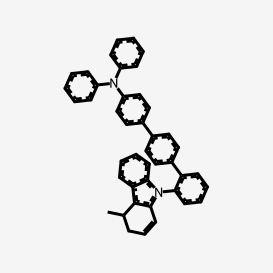 CC1CC=Cc2c1c1ccccc1n2-c1ccccc1-c1ccc(-c2ccc(N(c3ccccc3)c3ccccc3)cc2)cc1